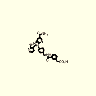 NC(=O)c1cnc2c(c1)nc(-c1cccnc1N)n2-c1ccc(CNC(=O)c2cccc(CC(=O)O)c2)cc1